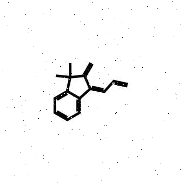 C=C/C=C1\C(=C)C(C)(C)c2ccccc21